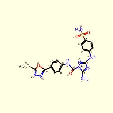 Nc1nc(Nc2ccc(S(N)(=O)=O)cc2)nn1C(=O)Nc1ccc(-c2nnc(C(=O)O)o2)cc1